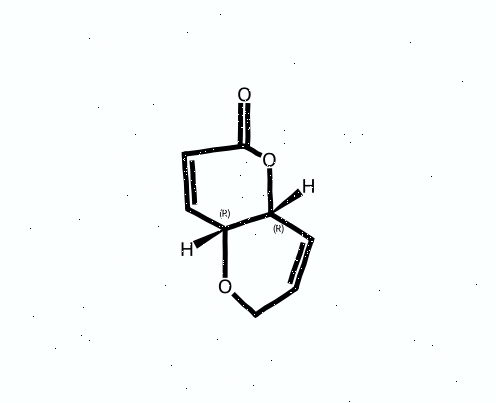 O=C1C=C[C@H]2OCC=C[C@H]2O1